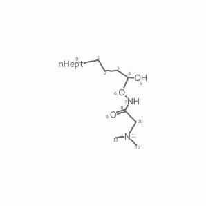 CCCCCCCCCCC(O)ONC(=O)CN(C)C